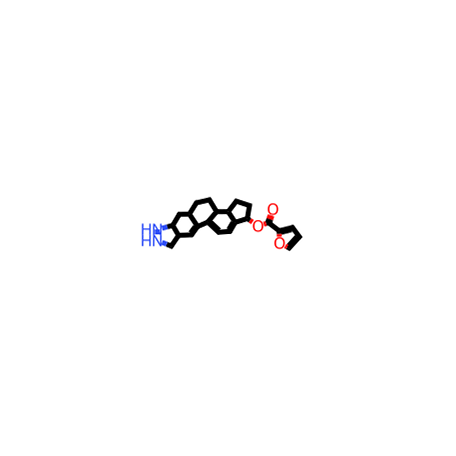 O=C(OC1CCC2C1=CC=C1C3=CC4CNNC4CC3CCC12)c1ccco1